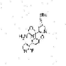 CC(C)(C)C#Cc1cnc2c(c1)[C@]1(COCC(N)=N1)c1cc(-c3cccnc3F)ccc1O2